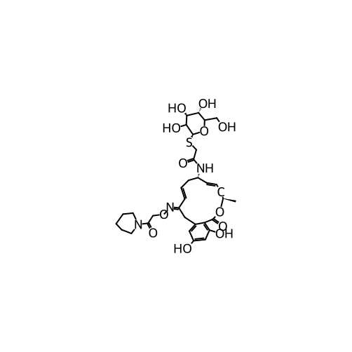 C[C@@H]1C/C=C/[C@@H](NC(=O)CS[C@@H]2OC(CO)[C@@H](O)[C@H](O)C2O)C/C=C/C(=N/OCC(=O)N2CCCCC2)Cc2cc(O)cc(O)c2C(=O)O1